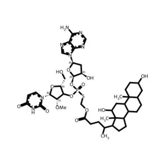 CO[C@H]1C(OP(=O)(O[C@H]2O[C@@H](n3cnc4c(N)ncnc43)C[C@H]2O)SCOC(=O)CCC(C)C2CCC3C4CCC5CC(O)CCC5(C)C4CC(O)C23C)[C@@H](CO)O[C@H]1n1ccc(=O)[nH]c1=O